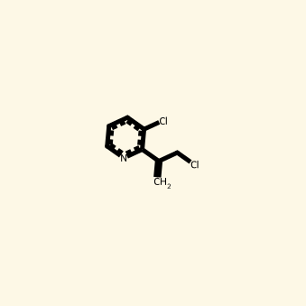 C=C(CCl)c1ncccc1Cl